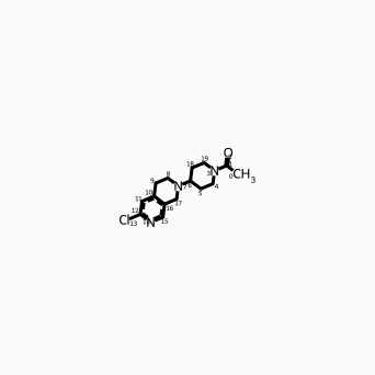 CC(=O)N1CCC(N2CCc3cc(Cl)ncc3C2)CC1